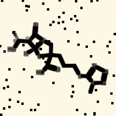 C[C@@H](O)[C@H]1C(=O)N2CC(CCCSc3nnnn3C)(C(=O)O)S[C@H]12